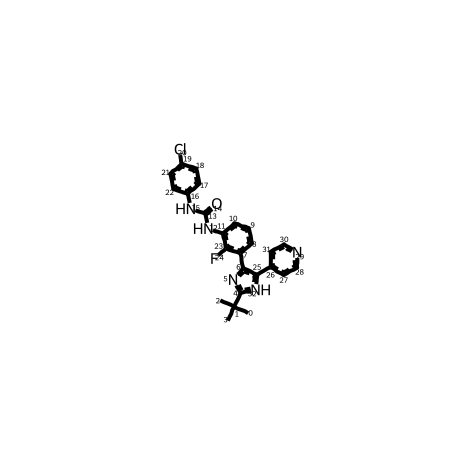 CC(C)(C)c1nc(-c2cccc(NC(=O)Nc3ccc(Cl)cc3)c2F)c(-c2ccncc2)[nH]1